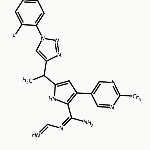 CC(c1cn(-c2ccccc2F)nn1)c1cc(-c2cnc(C(F)(F)F)nc2)c(/C(N)=N\C=N)[nH]1